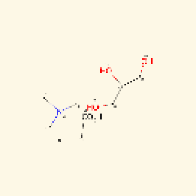 C=CC(=O)O.CN(C)C.OCC(O)CO